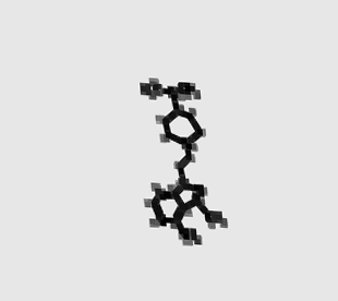 Cc1nn(CCN2CCC(N(C)C)CC2)c2ncnc(N)c12